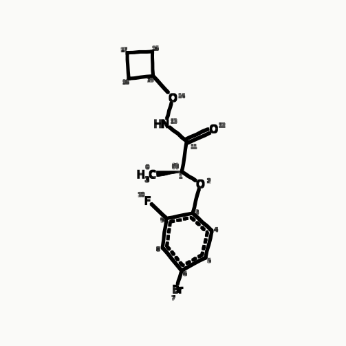 C[C@H](Oc1ccc(Br)cc1F)C(=O)NOC1CCC1